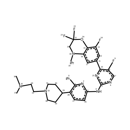 CC(C)c1nc(Nc2ncc(F)c(-c3cc(F)c4c(c3)N(C(C)C)CC(F)(F)O4)n2)ccc1C1CCN(CCN(C)C)CC1